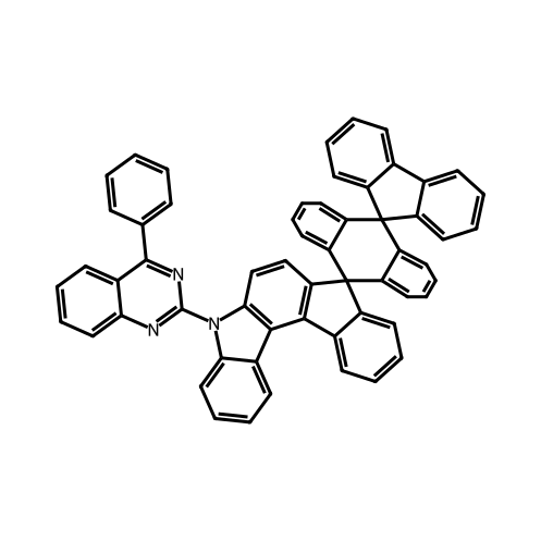 c1ccc(-c2nc(-n3c4ccccc4c4c5c(ccc43)C3(c4ccccc4-5)c4ccccc4C4(c5ccccc5-c5ccccc54)c4ccccc43)nc3ccccc23)cc1